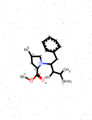 CCCC(C(C)NC(C)=O)C(Cc1ccccc1)N1CC(C#N)CC1C(=O)OC(C)(C)C